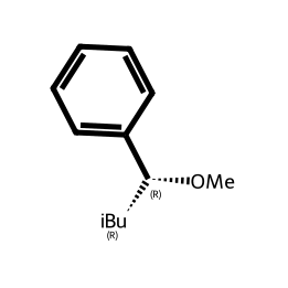 CC[C@@H](C)[C@@H](OC)c1ccccc1